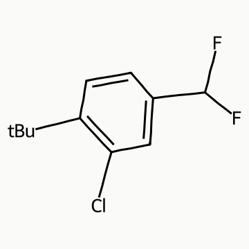 CC(C)(C)c1ccc(C(F)F)cc1Cl